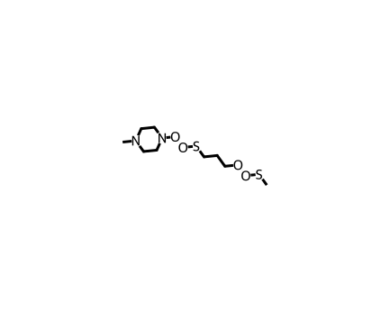 CSOOCCCSOON1CCN(C)CC1